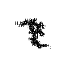 CCN(CC)c1cc(Nc2nc(Nc3cc(N(CC)CC)c(OC)cc3/N=N/c3sc4c(c3C#N)S(=O)(=O)C(=O)C(C(=O)Nc3cccc(OCN)c3)=C4)nc(SC3CCCCC3)n2)c(/N=N/c2sc(C(C(C)=O)C(=O)Nc3cccc(C(N)=O)c3)c(S(=O)(=O)O)c2C#N)cc1OC